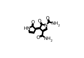 NC(=O)C1=CN(C(N)=O)C(=O)C1=C1C=CNC1=O